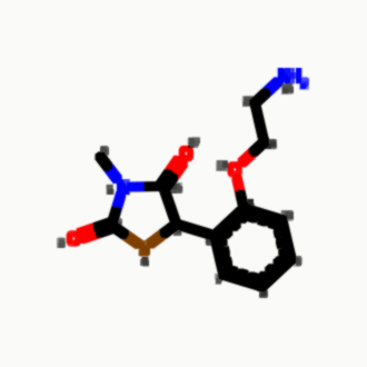 CN1C(=O)SC(c2ccccc2OCCN)C1=O